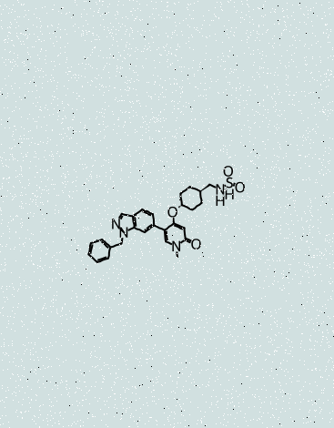 Cn1cc(-c2ccc3cnn(Cc4ccccc4)c3c2)c(O[C@H]2CC[C@H](CN[SH](=O)=O)CC2)cc1=O